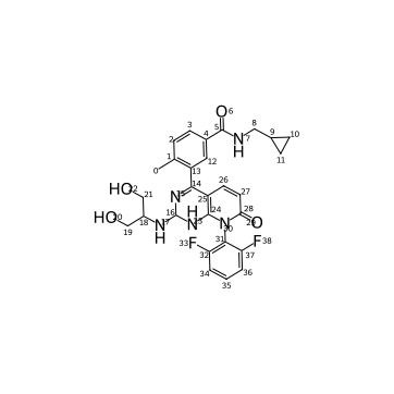 Cc1ccc(C(=O)NCC2CC2)cc1C1=NC(NC(CO)CO)Nc2c1ccc(=O)n2-c1c(F)cccc1F